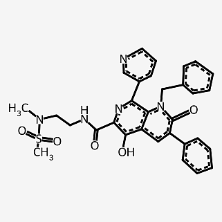 CN(CCNC(=O)c1nc(-c2cccnc2)c2c(cc(-c3ccccc3)c(=O)n2Cc2ccccc2)c1O)S(C)(=O)=O